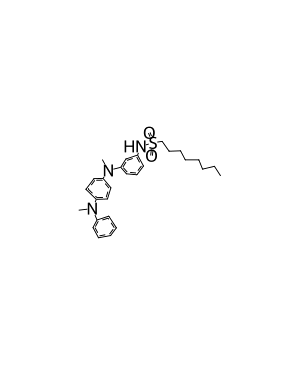 CCCCCCCCS(=O)(=O)Nc1cccc(N(C)c2ccc(N(C)c3ccccc3)cc2)c1